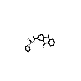 CC(OC(=O)n1cccc1)c1ccc2c(c1)C(=O)c1ccccc1C2=O